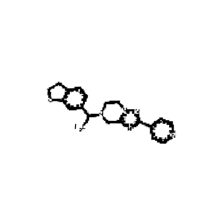 CC(c1ccc2c(c1)OCC2)N1CCn2nc(-c3ccncc3)nc2C1